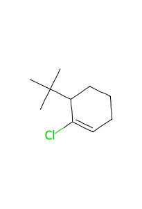 CC(C)(C)C1CCCC=C1Cl